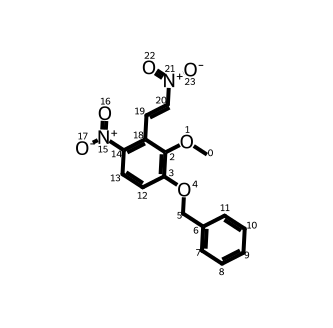 COc1c(OCc2ccccc2)ccc([N+](=O)[O-])c1C=C[N+](=O)[O-]